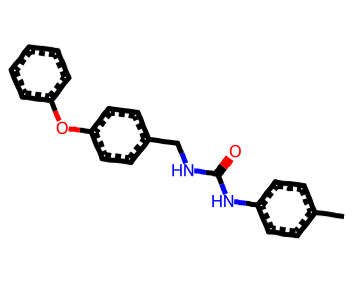 Cc1ccc(NC(=O)NCc2ccc(Oc3ccccc3)cc2)cc1